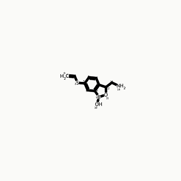 C=CSc1ccc2c(c1)B(O)OC2CN